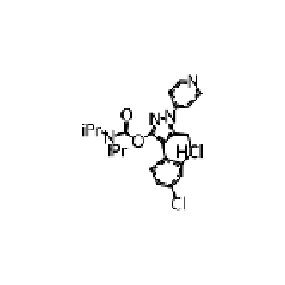 CC(C)N(C(=O)Oc1nn(-c2ccncc2)c2c1-c1ccc(Cl)cc1CC2)C(C)C.Cl